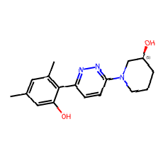 Cc1cc(C)c(-c2ccc(N3CCC[C@H](O)C3)nn2)c(O)c1